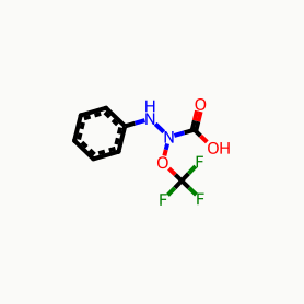 O=C(O)N(Nc1ccccc1)OC(F)(F)F